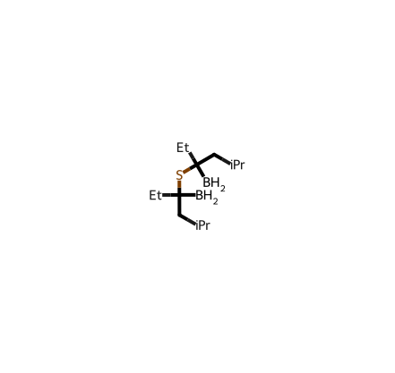 BC(CC)(CC(C)C)SC(B)(CC)CC(C)C